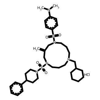 C=C1CN(S(=O)(=O)c2ccc(N(C)C)cc2)CCCN(CC2CCCCC2)CCCN(S(=O)(=O)N2CCC(c3ccccc3)CC2)C1.Cl